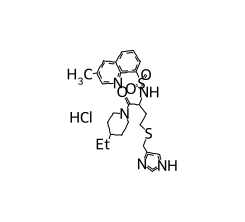 CCC1CCN(C(=O)C(CCSCc2c[nH]cn2)NS(=O)(=O)c2cccc3cc(C)cnc23)CC1.Cl